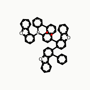 c1ccc(-c2ccccc2N(c2ccc(-c3c(-c4ccc5oc6ccccc6c5c4-c4ccccc4)ccc4oc5ccccc5c34)cc2)c2cccc3oc4ccccc4c23)cc1